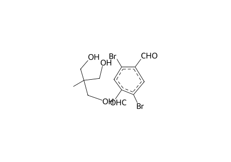 CC(CO)(CO)CO.O=Cc1cc(Br)c(C=O)cc1Br